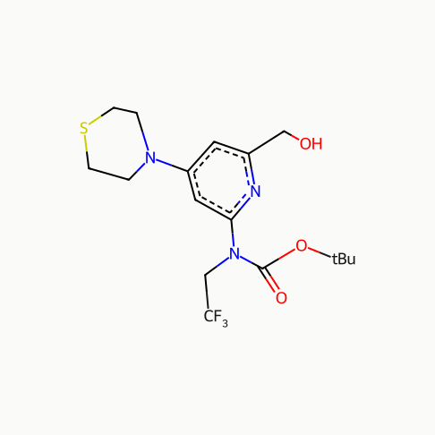 CC(C)(C)OC(=O)N(CC(F)(F)F)c1cc(N2CCSCC2)cc(CO)n1